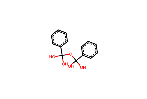 OC(O)(OC(O)(O)c1ccccc1)c1ccccc1